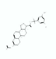 COc1cc(OC)cc(C(C)(C)NC(=O)C2CC[C@H]3[C@@H]4CC=C5C=C(OC(=O)O)CC[C@]5(C)[C@H]4CC[C@]23C)c1